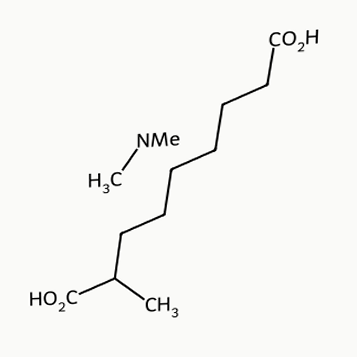 CC(CCCCCCC(=O)O)C(=O)O.CNC